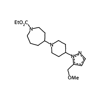 CCOC(=O)N1CCCC(N2CCC(n3nccc3COC)CC2)CC1